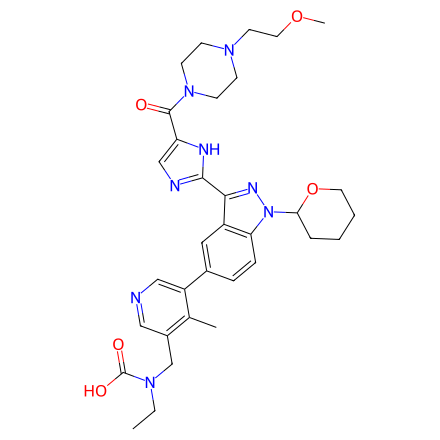 CCN(Cc1cncc(-c2ccc3c(c2)c(-c2ncc(C(=O)N4CCN(CCOC)CC4)[nH]2)nn3C2CCCCO2)c1C)C(=O)O